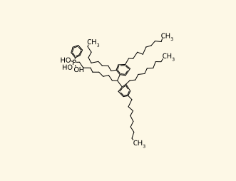 CCCCCCCCCc1ccc(C(CCCCCCCCP(O)(O)(O)c2ccccc2)c2ccc(CCCCCCCCC)cc2CCCCCCCCC)c(CCCCCCCCC)c1